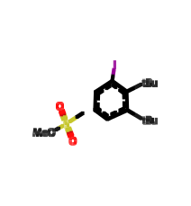 CC(C)(C)c1cccc(I)c1C(C)(C)C.COS(C)(=O)=O